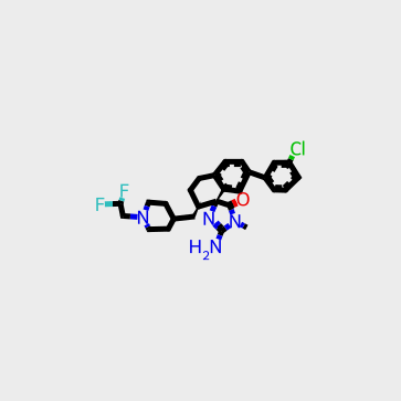 CN1C(=O)[C@@]2(N=C1N)c1cc(-c3cccc(Cl)c3)ccc1CC[C@@H]2CC1CCN(CC(F)F)CC1